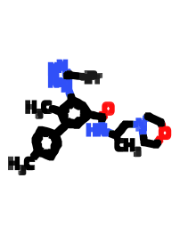 Cc1ccc(-c2cc(C(=O)N[C@H](C)CN3CCOCC3)cc(-n3nnnc3C(C)C)c2C)cc1